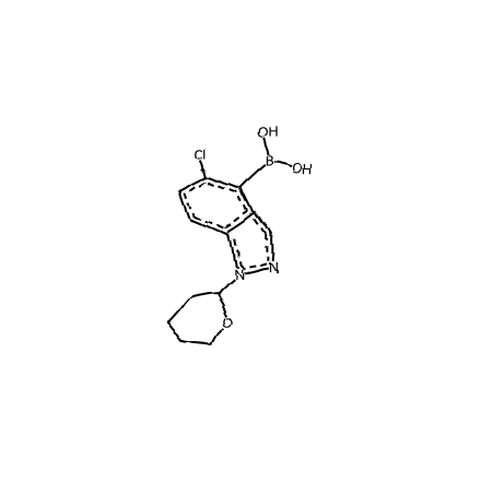 OB(O)c1c(Cl)ccc2c1cnn2C1CCCCO1